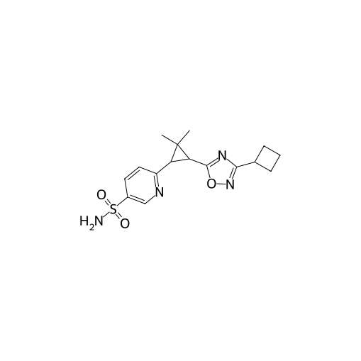 CC1(C)C(c2ccc(S(N)(=O)=O)cn2)C1c1nc(C2CCC2)no1